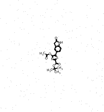 CC(=O)Oc1nc(C(=O)OC(C)(C)C)sc1-c1ccc2c(c1)CC(=O)N2